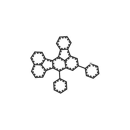 c1ccc(-c2c3cc(-c4ccccn4)cc4c5ccccc5c(c34)c3c4cccc5cccc(c23)c54)cc1